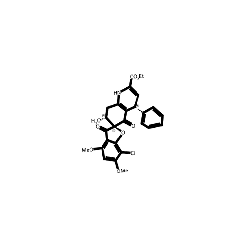 CCOC(=O)C1=C[C@H](c2ccccc2)C2=C(C[C@@H](C)[C@]3(Oc4c(Cl)c(OC)cc(OC)c4C3=O)C2=O)N1